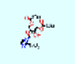 CC(C)(C)C(=O)OC[C@@H](O)[C@H](COC(=O)C(C)(C)C)OCn1ccnc1[N+](=O)[O-]